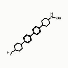 CCCCNC1CCC(c2ccc(-c3ccc(C4CCC(C)CC4)cc3)cc2)CC1